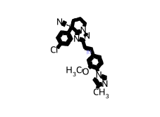 COc1cc(/C=C/c2nc3n(n2)CCC[C@]3(C#N)c2ccc(Cl)cc2)ccc1-n1cnc(C)c1